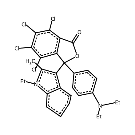 CCN(CC)c1ccc(C2(c3c(C)n(CC)c4ccccc34)OC(=O)c3c(Cl)c(Cl)c(Cl)c(Cl)c32)cc1